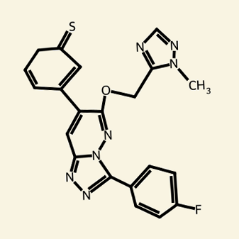 Cn1ncnc1COc1nn2c(-c3ccc(F)cc3)nnc2cc1C1=CC(=S)CC=C1